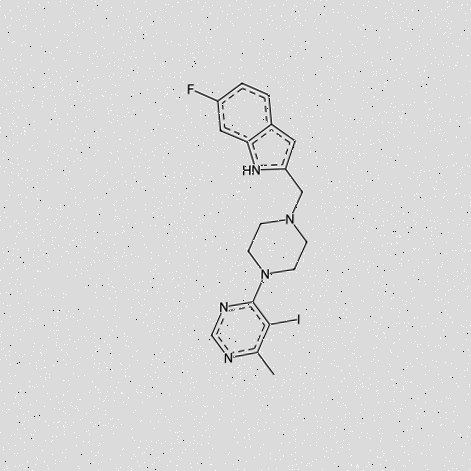 Cc1ncnc(N2CCN(Cc3cc4ccc(F)cc4[nH]3)CC2)c1I